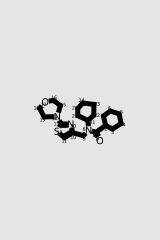 O=C(C1CCCCC1)N(Cc1csc(N2CCOCC2)n1)C1CCCCC1